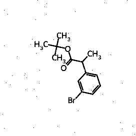 CC(C(=O)OC(C)(C)C)c1cccc(Br)c1